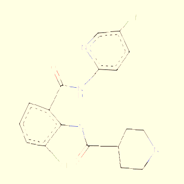 O=C(Nc1ccc(Cl)cn1)c1cccc(Cl)c1NC(=O)C1CCNCC1